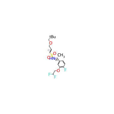 C[C@@H](NS(=O)(=O)/C=C/COCC(C)(C)C)c1ccc(F)c(OCC(F)F)c1